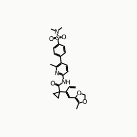 C=C/C(=C\C1=C(C)OCO1)C1(C(=O)Nc2ccc(-c3ccc(S(=O)(=O)N(C)C)cc3)c(C)n2)CC1